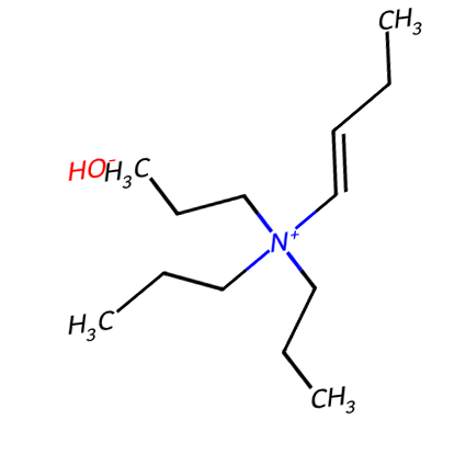 CCC=C[N+](CCC)(CCC)CCC.[OH-]